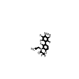 C#CCN1C(=O)C(F)(F)Oc2ccc(-c3c(F)c(F)c(NC)c(F)c3F)c(F)c21